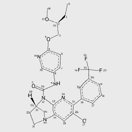 CC[C@@H](COc1ccc(NC(=O)N2c3nc(-c4cccc(C(F)(F)F)c4)c(Cl)cc3N3CC[C@H]2C3)cn1)OC